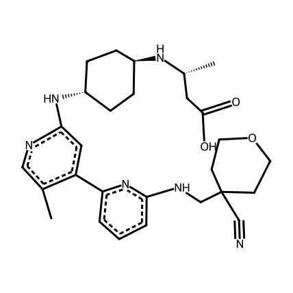 Cc1cnc(N[C@H]2CC[C@H](N[C@H](C)CC(=O)O)CC2)cc1-c1cccc(NCC2(C#N)CCOCC2)n1